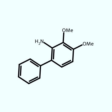 COc1ccc(-c2ccccc2)c(N)c1OC